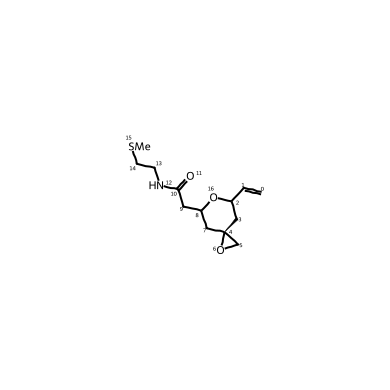 C=CC1C[C@]2(CO2)CC(CC(=O)NCCSC)O1